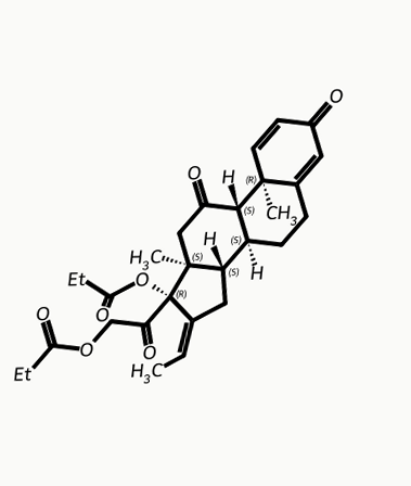 CC=C1C[C@H]2[C@@H]3CCC4=CC(=O)C=C[C@]4(C)[C@H]3C(=O)C[C@]2(C)[C@]1(OC(=O)CC)C(=O)COC(=O)CC